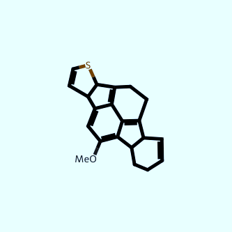 COc1cc2c3c4c1C1CCC=CC1C=4CCC=3C1SC=CC21